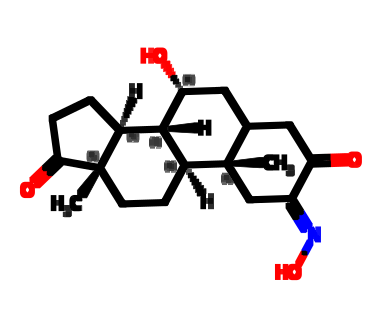 C[C@]12CC(=NO)C(=O)CC1C[C@@H](O)[C@@H]1[C@@H]2CC[C@]2(C)C(=O)CC[C@@H]12